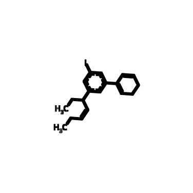 CC/C=C\C(CC)c1cc(I)cc(C2=CCCC=C2)c1